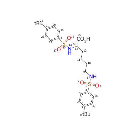 CC(C)(C)c1ccc(S(=O)(=O)NCCCC[C@H](NS(=O)(=O)c2ccc(C(C)(C)C)cc2)C(=O)O)cc1